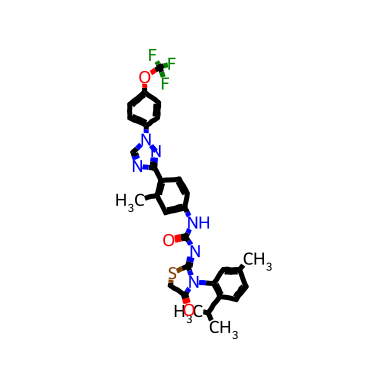 Cc1ccc(C(C)C)c(N2C(=O)CS/C2=N\C(=O)Nc2ccc(-c3ncn(-c4ccc(OC(F)(F)F)cc4)n3)c(C)c2)c1